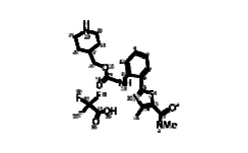 CNC(=O)c1sc(-c2ccccc2NC(=O)OCC2CCNCC2)nc1C.O=C(O)C(F)(F)F